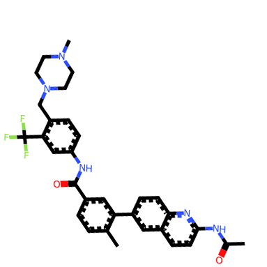 CC(=O)Nc1ccc2cc(-c3cc(C(=O)Nc4ccc(CN5CCN(C)CC5)c(C(F)(F)F)c4)ccc3C)ccc2n1